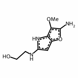 COc1c(N)oc2cc(NCCO)[nH]c12